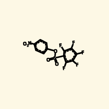 O=[N+]([O-])c1ccc(OS(=O)(=O)c2c(F)c(F)c(F)c(F)c2F)cc1